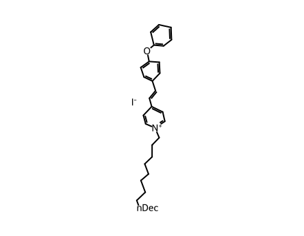 CCCCCCCCCCCCCCCCCC[n+]1ccc(/C=C/c2ccc(Oc3ccccc3)cc2)cc1.[I-]